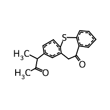 CC(=O)C(C)c1ccc2c(c1)CC(=O)c1ccccc1S2